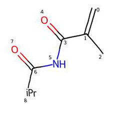 C=C(C)C(=O)NC(=O)C(C)C